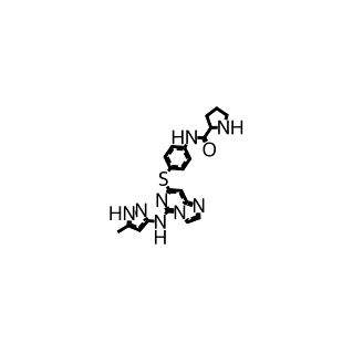 Cc1cc(Nc2nc(Sc3ccc(NC(=O)C4CCCN4)cc3)cc3nccn23)n[nH]1